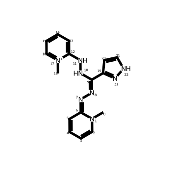 Cn1cccc/c1=N/N=C(\NNc1cccc[n+]1C)c1cc[nH]n1